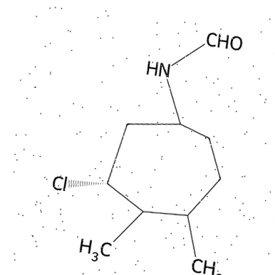 CC1CCC(NC=O)C[C@@H](Cl)C1C